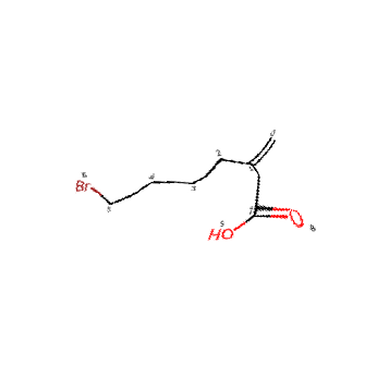 C=C(CCCCBr)C(=O)O